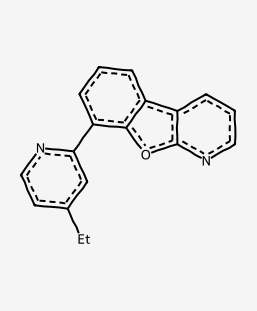 CCc1ccnc(-c2cccc3c2oc2ncccc23)c1